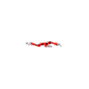 C=CC(=O)OCCCCOc1ccc(C(=O)Oc2ccc(OC(=O)C3CCC(C(=O)Oc4ccc(OCCCOCCOC(=O)C=C)cc4)CC3)c(C(=O)OC)c2)cc1